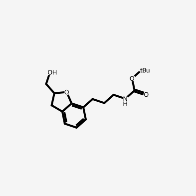 CC(C)(C)OC(=O)NCCCc1cccc2c1OC(CO)C2